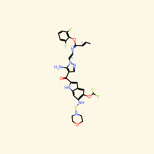 C/C=C/C(=N\C=C\n1ncc(C(=O)c2cc3cc(OC(F)F)c(NSN4CCOCC4)cc3[nH]2)c1N)Oc1c(F)cccc1F